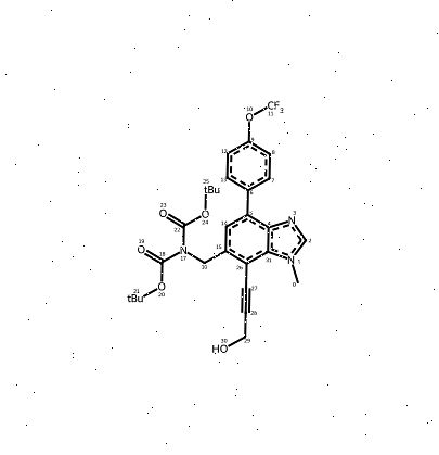 Cn1cnc2c(-c3ccc(OC(F)(F)F)cc3)cc(CN(C(=O)OC(C)(C)C)C(=O)OC(C)(C)C)c(C#CCO)c21